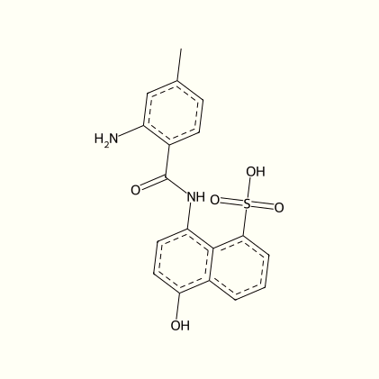 Cc1ccc(C(=O)Nc2ccc(O)c3cccc(S(=O)(=O)O)c23)c(N)c1